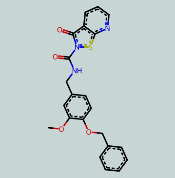 COc1cc(CNC(=O)n2sc3ncccc3c2=O)ccc1OCc1ccccc1